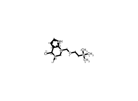 C[Si](C)(C)CCOCN1CN(I)C(Cl)c2cc[nH]c21